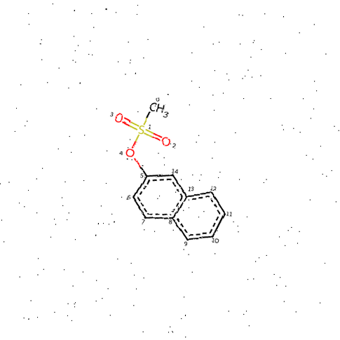 CS(=O)(=O)Oc1ccc2ccccc2c1